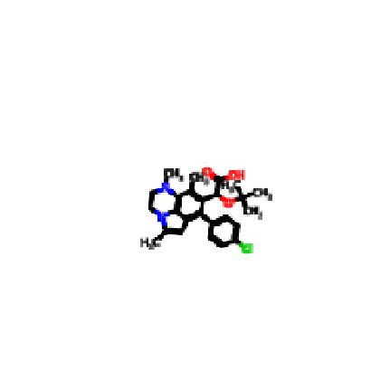 Cc1c([C@H](OC(C)(C)C)C(=O)O)c(-c2ccc(Cl)cc2)c2cc(C)n3c2c1N(C)CC3